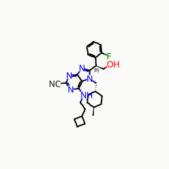 C[C@H]1CC[C@H](Cn2c([C@H](CO)c3ccccc3F)nc3nc(C#N)nc(NCCC4CCC4)c32)CC1